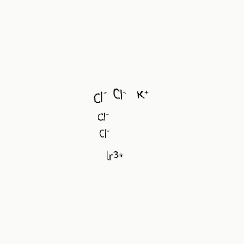 [Cl-].[Cl-].[Cl-].[Cl-].[Ir+3].[K+]